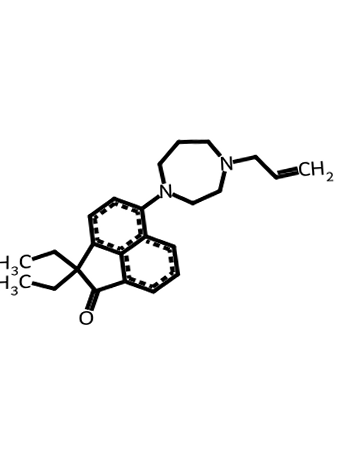 C=CCN1CCCN(c2ccc3c4c(cccc24)C(=O)C3(CC)CC)CC1